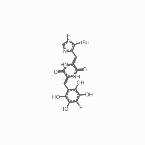 CC(C)(C)c1[nH]cnc1/C=c1\[nH]c(=O)/c(=C/c2c(O)c(O)c(F)c(O)c2O)[nH]c1=O